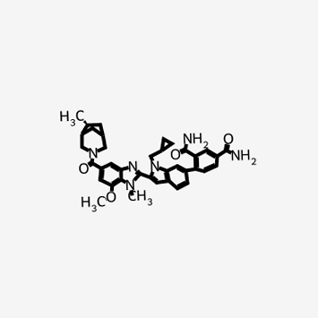 COc1cc(C(=O)N2CC3CC(C2)[C@@H](C)C3)cc2nc(-c3cc4ccc(-c5ccc(C(N)=O)cc5C(N)=O)cc4n3CC3CC3)n(C)c12